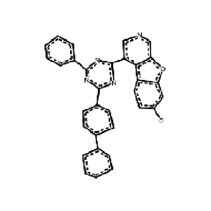 Clc1ccc2c(c1)oc1cncc(-c3nc(-c4ccccc4)nc(-c4ccc(-c5ccccc5)cc4)n3)c12